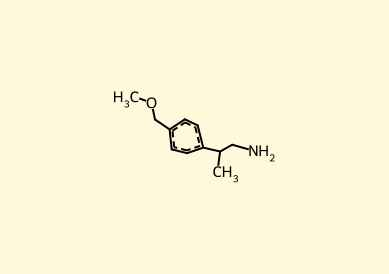 COCc1ccc(C(C)CN)cc1